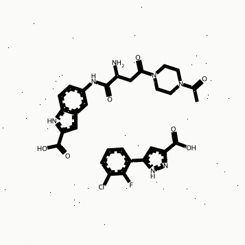 CC(=O)N1CCN(C(=O)CC(N)C(=O)Nc2ccc3[nH]c(C(=O)O)cc3c2)CC1.O=C(O)c1cc(-c2cccc(Cl)c2F)[nH]n1